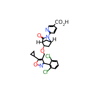 O=C(O)c1ccc(N2C(=O)[C@@H]3C[C@H]2C[C@H]3OCc2c(-c3c(Cl)cccc3Cl)noc2C2CC2)nc1